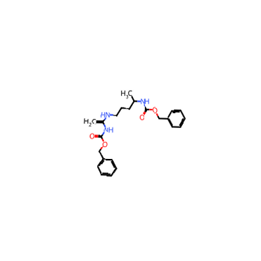 C=C(NCCCC(C)NC(=O)OCc1ccccc1)NC(=O)OCc1ccccc1